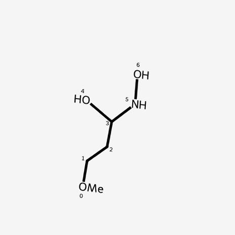 COCCC(O)NO